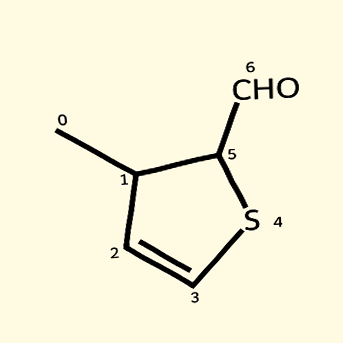 CC1C=CSC1C=O